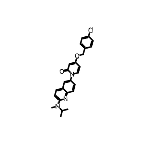 CC(C)N(C)c1ccc2cc(-n3ccc(OCc4ccc(Cl)cc4)cc3=O)ccc2n1